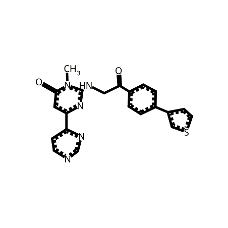 Cn1c(NCC(=O)c2ccc(-c3ccsc3)cc2)nc(-c2ccncn2)cc1=O